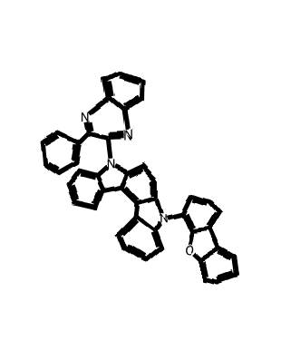 c1ccc(-c2nc3ccccc3nc2-n2c3ccccc3c3c4c5ccccc5n(-c5cccc6c5oc5ccccc56)c4ccc32)cc1